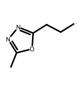 [CH2]CCc1nnc(C)o1